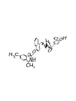 Cc1ccc([C@H](C)NC(=O)COc2ccc(/C=N/NC(=O)c3ccc(O)c(Cl)c3)c3ccccc23)cc1